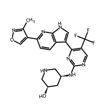 Cc1nocc1-c1ccc2c(-c3nc(N[C@@H]4CNC[C@H](O)C4)ncc3C(F)(F)F)c[nH]c2n1